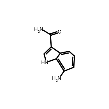 NC(=O)c1c[nH]c2c(N)cccc12